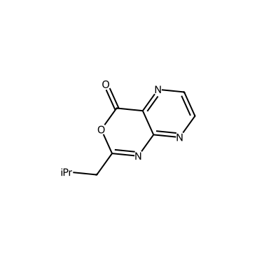 CC(C)Cc1nc2nccnc2c(=O)o1